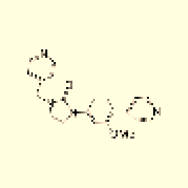 COc1cc(N2CCN(Cc3ccncc3)C2=O)ccc1-c1ccncc1